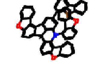 c1ccc2c(c1)oc1cccc(N3c4cc(-c5cccc6c5sc5ccccc56)cc5c4B(c4ccc6oc7ccccc7c6c4-5)c4ccc5oc6ccccc6c5c43)c12